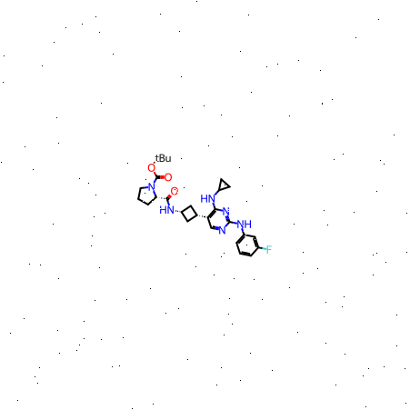 CC(C)(C)OC(=O)N1CCC[C@H]1C(=O)N[C@H]1C[C@@H](c2cnc(Nc3cccc(F)c3)nc2NC2CC2)C1